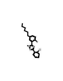 CCCCCCc1ccc(F)c(-c2nc(-c3ccccc3Cl)nn2C)c1